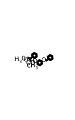 COC=C(C(=O)OC)c1ccccc1Oc1cccc(OCc2ccccc2)c1